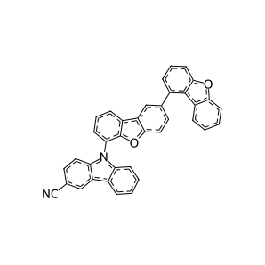 N#Cc1ccc2c(c1)c1ccccc1n2-c1cccc2c1oc1ccc(-c3cccc4oc5ccccc5c34)cc12